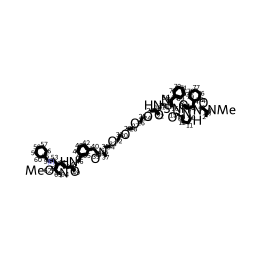 CN[C@@H](C)C(=O)N[C@H](C(=O)N1CCC[C@H]1C(=O)Nc1sc(NC(=O)COCCOCCOCCOCCN(C)C(=O)Cc2cccc(CNC(=O)c3cc(/C=C/C4CCCCC4)c(OC)cn3)c2)nc1-c1ccccc1)C1CCCCC1